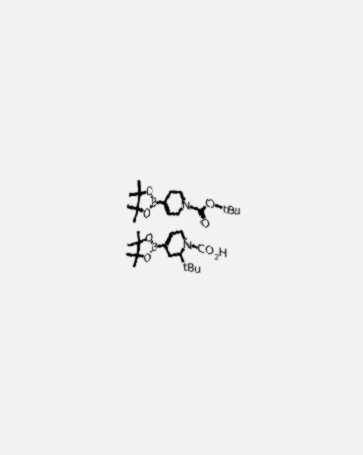 CC(C)(C)C1CC(B2OC(C)(C)C(C)(C)O2)=CCN1C(=O)O.CC(C)(C)OC(=O)N1CC=C(B2OC(C)(C)C(C)(C)O2)CC1